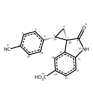 N#Cc1ccc([C@@H]2C[C@@]23C(=O)Nc2ccc(C(=O)O)cc23)cc1